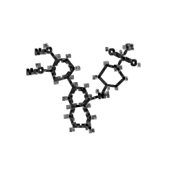 CCS(=O)(=O)N1CCC(Nc2cc(-c3ccc(OC)c(OC)c3)cc3ccncc23)CC1